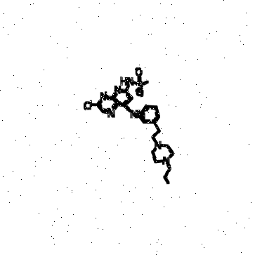 CCCN1CCN(CCc2cccc(Nc3cc(NS(C)(=O)=O)nc4nc(Cl)cnc34)c2)CC1